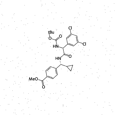 COC(=O)c1ccc([C@H](NC(=O)C(NC(=O)OC(C)(C)C)c2cc(Cl)cc(Cl)c2)C2CC2)cc1